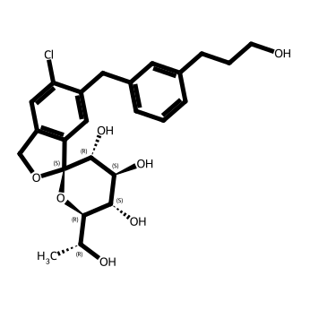 C[C@@H](O)[C@H]1O[C@]2(OCc3cc(Cl)c(Cc4cccc(CCCO)c4)cc32)[C@H](O)[C@@H](O)[C@@H]1O